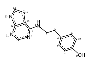 Oc1ccc(CCNc2ncnc3ncsc23)cc1